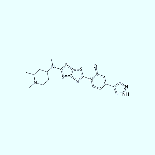 CC1CC(N(C)c2nc3sc(-n4ccc(-c5cn[nH]c5)cc4=O)nc3s2)CCN1C